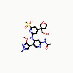 COc1nn(C)cc1-c1cnc(NC(C)=O)cc1Nc1cc(C2(CO)CCOC2)cc(S(C)(=O)=O)n1